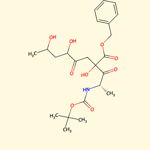 CC(O)CC(O)C(=O)CC(O)(C(=O)OCc1ccccc1)C(=O)[C@H](C)NC(=O)OC(C)(C)C